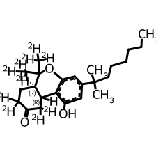 [2H]C1([2H])C[C@@H]2[C@H](c3c(O)cc(C(C)(C)CCCCCC)cc3OC2(C([2H])([2H])[2H])C([2H])([2H])[2H])C([2H])([2H])C1=O